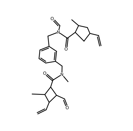 C=CC1CC(C)C(C(=O)N(C=O)Cc2cccc(CN(C)C(=O)C3C(C)C(C=C)C3C=O)c2)C1